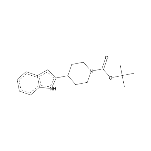 CC(C)(C)OC(=O)N1CCC(c2cc3ccccc3[nH]2)CC1